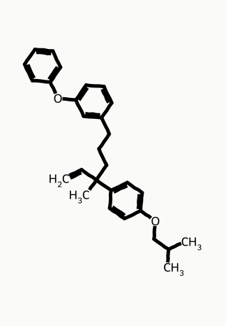 C=CC(C)(CCCc1cccc(Oc2ccccc2)c1)c1ccc(OCC(C)C)cc1